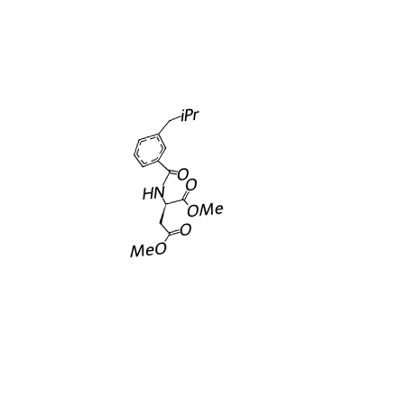 COC(=O)C[C@@H](NC(=O)c1cccc(CC(C)C)c1)C(=O)OC